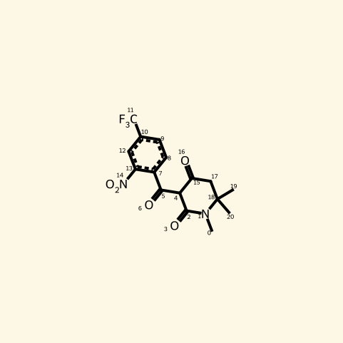 CN1C(=O)C(C(=O)c2ccc(C(F)(F)F)cc2[N+](=O)[O-])C(=O)CC1(C)C